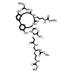 CC(C)(C)OC(=O)NCCC[C@@H](CNC(=O)CC[C@H](NC(=O)[C@@H]1Cc2cc(ccc2O)-c2ccc(O)c(c2)C[C@H](NC(=O)OC(C)(C)C)C(=O)N[C@@H](CCCNC(=O)OC(C)(C)C)C(=O)N1)C(N)=O)NC(=O)OC(C)(C)C